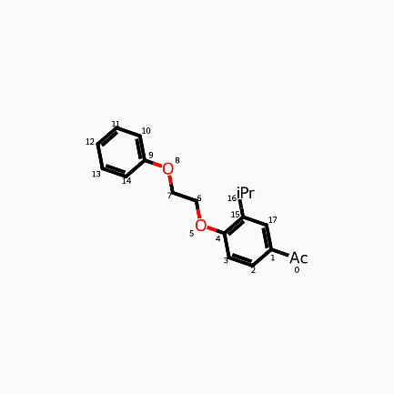 CC(=O)c1ccc(OCCOc2ccccc2)c(C(C)C)c1